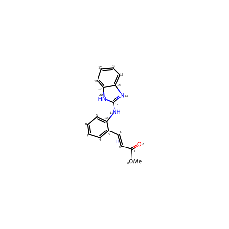 COC(=O)/C=C/c1ccccc1Nc1nc2ccccc2[nH]1